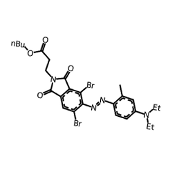 CCCCOC(=O)CCN1C(=O)c2cc(Br)c(N=Nc3ccc(N(CC)CC)cc3C)c(Br)c2C1=O